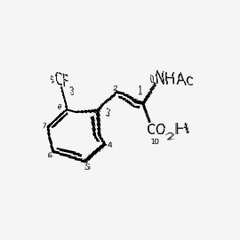 CC(=O)NC(=Cc1ccccc1C(F)(F)F)C(=O)O